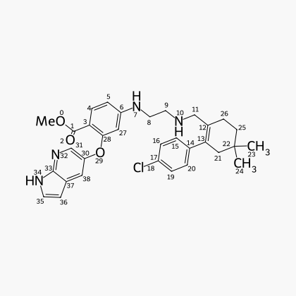 COC(=O)c1ccc(NCCNCC2=C(c3ccc(Cl)cc3)CC(C)(C)CC2)cc1Oc1cnc2[nH]ccc2c1